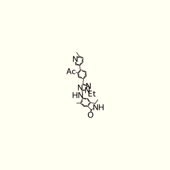 CCn1nc(-c2ccc(-c3ccc(C)nc3)c(C(C)=O)c2)nc1Nc1cc2c(cc1C)C(=O)NC2C